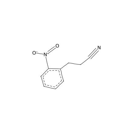 N#CCCc1ccccc1[N+](=O)[O-]